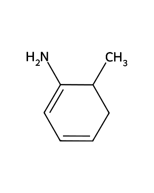 CC1CC=CC=C1N